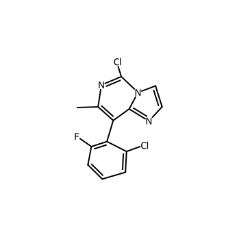 Cc1nc(Cl)n2ccnc2c1-c1c(F)cccc1Cl